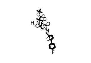 CC(C)(C)OC(=O)C(C)(N)C(=O)N1C(=O)CN(N=Cc2ccc(-c3ccc(F)cc3)o2)C1=O